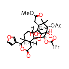 COC(=O)C[C@H]1C(C)(C)[C@H](OC(C)=O)[C@]2(O)[C@@H](OC(=O)C(C)C)[C@@]34OC2(O)[C@]1(C)[C@H]3CC[C@]1(C)[C@H]4CC(=O)O[C@H]1c1ccoc1